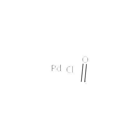 [C]=O.[Cl-].[Pd+]